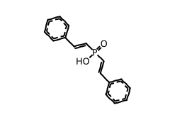 O=P(O)(C=Cc1ccccc1)C=Cc1ccccc1